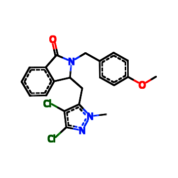 COc1ccc(CN2C(=O)c3ccccc3C2Cc2c(Cl)c(Cl)nn2C)cc1